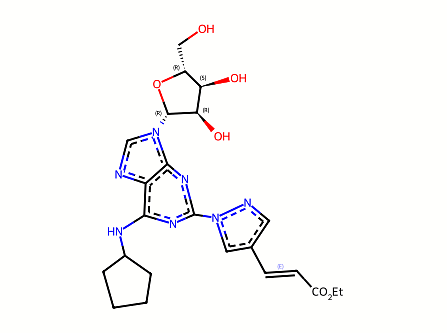 CCOC(=O)/C=C/c1cnn(-c2nc(NC3CCCC3)c3ncn([C@@H]4O[C@H](CO)[C@@H](O)[C@H]4O)c3n2)c1